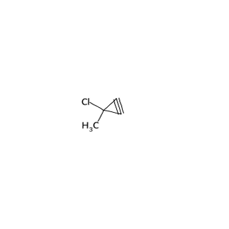 CC1(Cl)C#C1